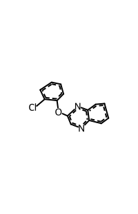 Clc1ccccc1Oc1cnc2ccccc2n1